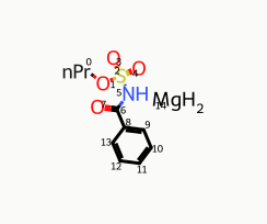 CCCOS(=O)(=O)NC(=O)c1ccccc1.[MgH2]